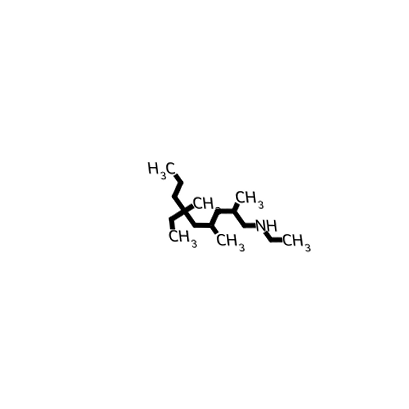 CCCC(C)(CC)CC(C)CC(C)CNCC